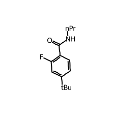 CCCNC(=O)c1ccc(C(C)(C)C)cc1F